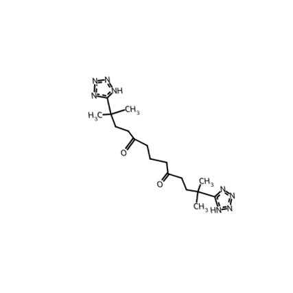 CC(C)(CCC(=O)CCCC(=O)CCC(C)(C)c1nnn[nH]1)c1nnn[nH]1